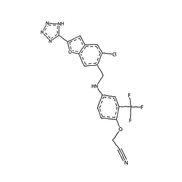 N#CCOc1ccc(NCc2cc3oc(-c4nnn[nH]4)cc3cc2Cl)cc1C(F)(F)F